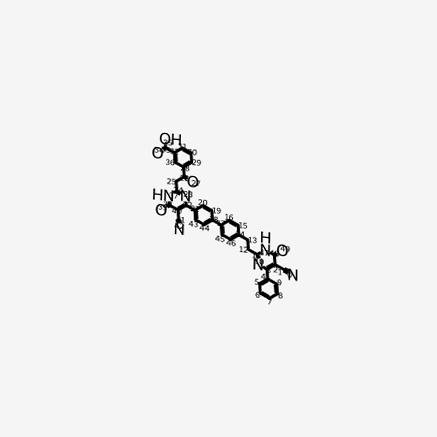 N#Cc1c(-c2ccccc2)nc(CCc2ccc(-c3ccc(-c4nc(CC(=O)c5cccc(C(=O)O)c5)[nH]c(=O)c4C#N)cc3)cc2)[nH]c1=O